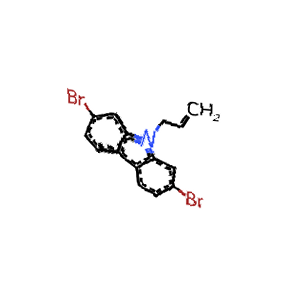 C=CCn1c2cc(Br)ccc2c2ccc(Br)cc21